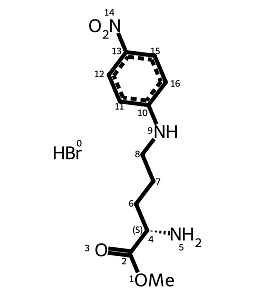 Br.COC(=O)[C@@H](N)CCCNc1ccc([N+](=O)[O-])cc1